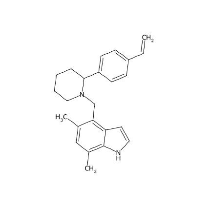 C=Cc1ccc(C2CCCCN2Cc2c(C)cc(C)c3[nH]ccc23)cc1